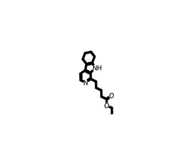 CCOC(=O)CCCCc1nccc2c3c([nH]c12)CCCC3